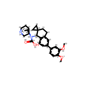 COc1ccc(-c2ccc3c(c2)CCC2(CC2)[C@@H]3N(C(=O)O)C2CN3CCC2CC3)cc1OC